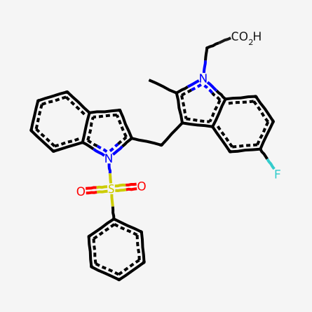 Cc1c(Cc2cc3ccccc3n2S(=O)(=O)c2ccccc2)c2cc(F)ccc2n1CC(=O)O